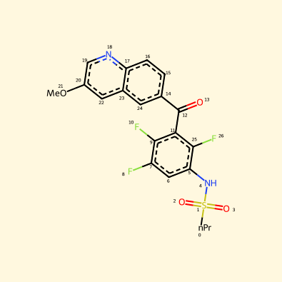 CCCS(=O)(=O)Nc1cc(F)c(F)c(C(=O)c2ccc3ncc(OC)cc3c2)c1F